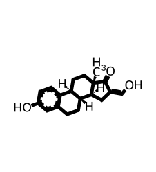 C[C@]12CC[C@@H]3c4ccc(O)cc4CC[C@H]3[C@@H]1C/C(=C/O)C2=O